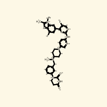 Cc1nc2c(F)cc(-c3nc(Nc4ccc(N5CCC(N(C)Cc6cccc(N7CCC(=O)NC7=O)c6)CC5)cn4)ncc3F)cc2n1C(C)C